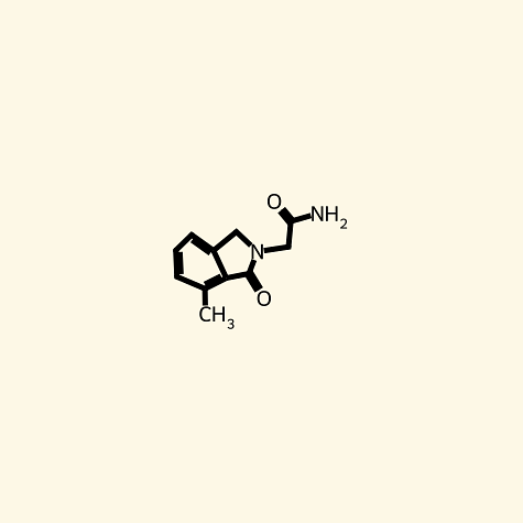 Cc1cccc2c1C(=O)N(CC(N)=O)C2